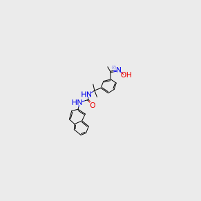 C/C(=N/O)c1cccc(C(C)(C)NC(=O)Nc2ccc3ccccc3c2)c1